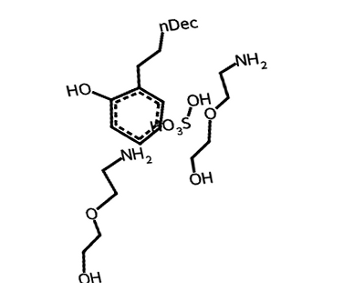 CCCCCCCCCCCCc1ccccc1O.NCCOCCO.NCCOCCO.O=S(=O)(O)O